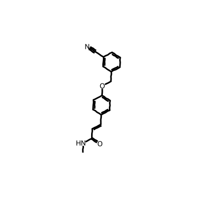 CNC(=O)C=Cc1ccc(OCc2cccc(C#N)c2)cc1